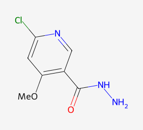 COc1cc(Cl)ncc1C(=O)NN